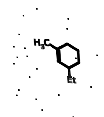 CCC1C=C(C)CCC1